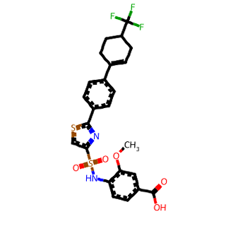 COc1cc(C(=O)O)ccc1NS(=O)(=O)c1csc(-c2ccc(C3=CCC(C(F)(F)F)CC3)cc2)n1